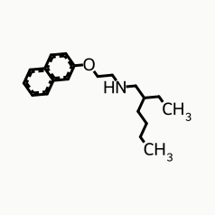 CCCCC(CC)CNCCOc1ccc2ccccc2c1